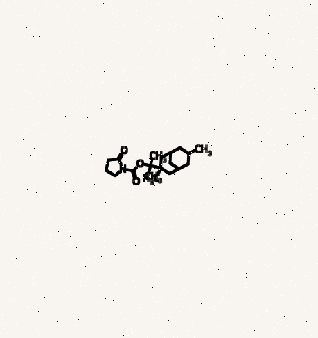 CC1CC2CC(C1)CC(C)(C(C)(C)OC(=O)N1CCCC1=O)C2